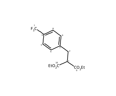 CCOC(=O)C(Cc1ccc(C(F)(F)F)cc1)C(=O)OCC